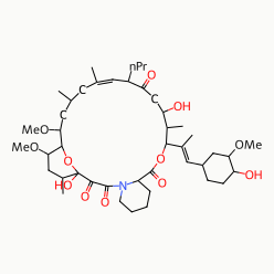 CCCC1C=C(C)CC(C)CC(OC)C2OC(O)(C(=O)C(=O)N3CCCCC3C(=O)OC(C(C)=CC3CCC(O)C(OC)C3)C(C)C(O)CC1=O)C(C)CC2OC